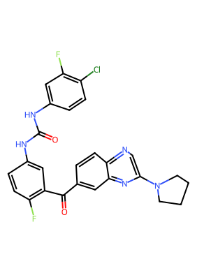 O=C(Nc1ccc(Cl)c(F)c1)Nc1ccc(F)c(C(=O)c2ccc3ncc(N4CCCC4)nc3c2)c1